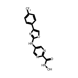 O=C(NO)c1ncc(Nc2nc(-c3ccc(C(F)(F)F)cc3)co2)cn1